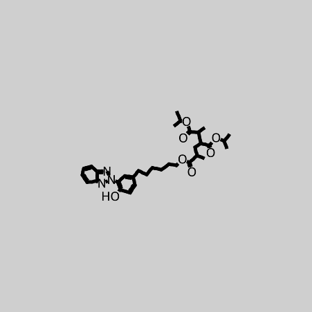 CC(C)OC(=O)C(C)C(CC(C)C(=O)OCCCCCCc1ccc(O)c(-n2nc3ccccc3n2)c1)C(=O)OC(C)C